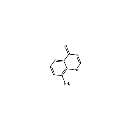 Nc1cccc2c(=O)nc[nH]c12